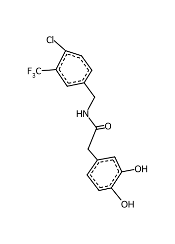 O=C(Cc1ccc(O)c(O)c1)NCc1ccc(Cl)c(C(F)(F)F)c1